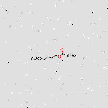 [CH2]CCCCCC(=O)OCCCCCCCCCCCC